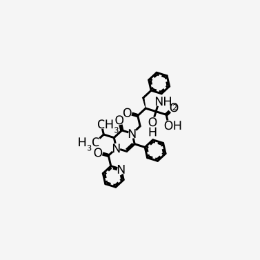 CC(C)C1C(=O)N(CC(=O)[C@@H](Cc2ccccc2)C(N)(O)C(=O)O)C(c2ccccc2)=CN1C(=O)c1ccccn1